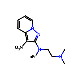 CCCN(CCN(C)C)c1nn2ccccc2c1[N+](=O)[O-]